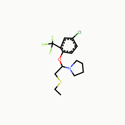 CCSCC(Oc1ccc(Cl)cc1C(F)(F)F)N1CCCC1